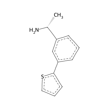 C[C@@H](N)c1cccc(-c2cccs2)c1